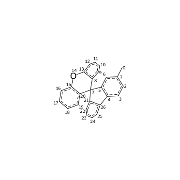 Cc1ccc2c(c1)C1(c3ccccc3Oc3ccccc31)c1ccccc1-2